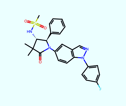 CC1(C)C(=O)N(c2ccc3c(cnn3-c3ccc(F)cc3)c2)[C@H](c2ccccc2)[C@H]1NS(C)(=O)=O